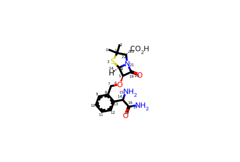 CC1(C)S[C@@H]2[C@H](OCc3ccccc3C(N)C(N)=O)C(=O)N2[C@H]1C(=O)O